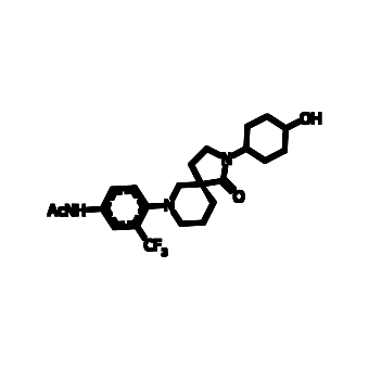 CC(=O)Nc1ccc(N2CCC[C@]3(CCN(C4CCC(O)CC4)C3=O)C2)c(C(F)(F)F)c1